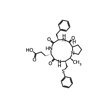 C[C@H]1[C@@H](CSc2ccccc2)NC(=O)[C@H](CCC(=O)O)NC(=O)[C@@H](Cc2ccccc2)NC(=O)[C@H]2CCCN21